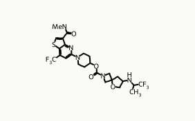 CNC(=O)c1csc2c(C(F)(F)F)cc(N3CCC(OC(=O)N4CC5(CC(NC(C)C(F)(F)F)CO5)C4)CC3)nc12